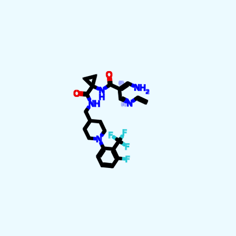 C=C/N=C\C(=C/N)C(=O)NC1(C(=O)NCC2CCN(c3cccc(F)c3C(F)(F)F)CC2)CC1